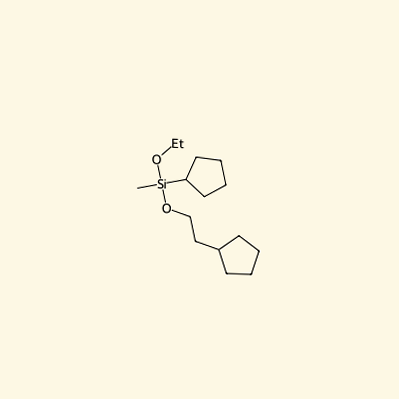 CCO[Si](C)(OCCC1CCCC1)C1CCCC1